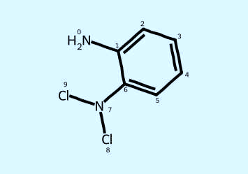 Nc1ccccc1N(Cl)Cl